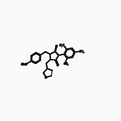 COc1ccc(CC2C(=O)C(c3c(C)cc(C)cc3C)C(=O)C2CC2CCOC2)cc1